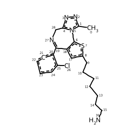 Cc1nnc2n1-c1sc(CCCCCCCN)cc1C(c1ccccc1Cl)=NC2